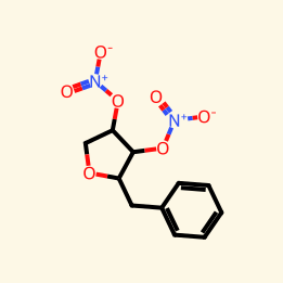 O=[N+]([O-])OC1COC(Cc2ccccc2)C1O[N+](=O)[O-]